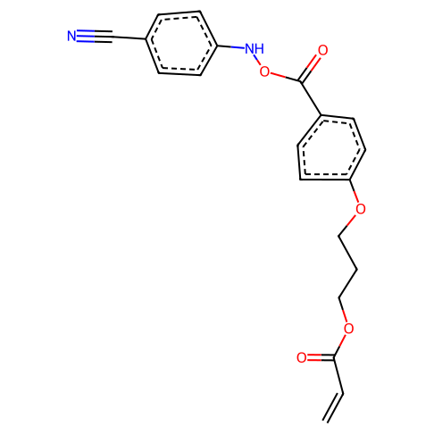 C=CC(=O)OCCCOc1ccc(C(=O)ONc2ccc(C#N)cc2)cc1